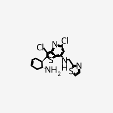 N[C@@H]1CC=CC[C@H]1c1sc2c(NCc3nccs3)cc(Cl)nc2c1Cl